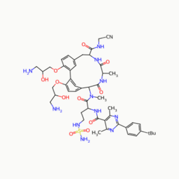 Cc1nc(-c2ccc(C(C)(C)C)cc2)nc(C)c1C(=O)NC(CCNS(N)(=O)=O)C(=O)N(C)C1C(=O)NC(C)C(=O)NC(C(=O)NCC#N)Cc2ccc(OCC(O)CN)c(c2)-c2cc1ccc2OCC(O)CN